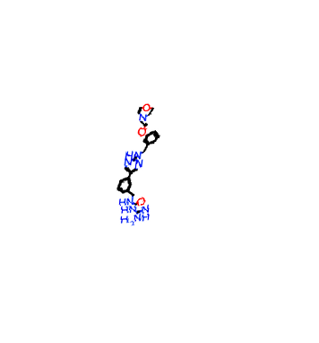 N=C(N)NC(=O)NCc1cccc(-c2cnc(NCc3cccc(OCCN4CCOCC4)c3)nc2)c1